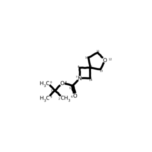 CC(C)(C)OC(=O)N1CC2(CCOC2)C1